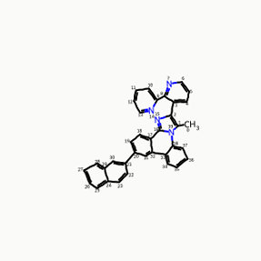 Cc1c(-c2cccnc2-c2ccccn2)nc2c3ccc(-c4ccc5ccccc5c4)cc3c3ccccc3n12